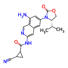 CC(C)[C@H]1COC(=O)N1c1cc(N)c2cnc(NC(=O)C3CC3C#N)cc2c1